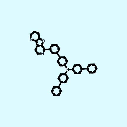 c1ccc(-c2ccc(N(c3ccc(-c4ccccc4)cc3)c3ccc(-c4cccc(-c5nccc6c5oc5cccnc56)c4)cc3)cc2)cc1